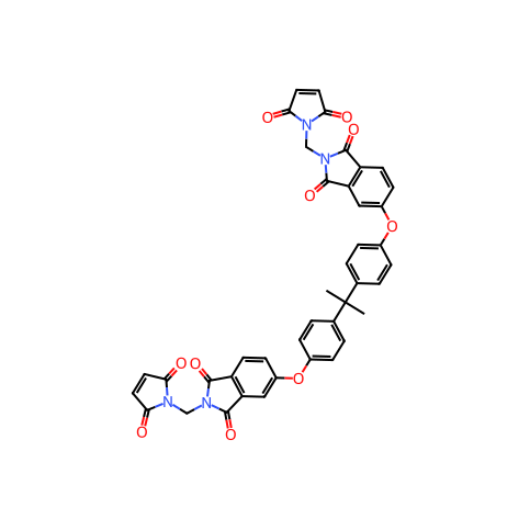 CC(C)(c1ccc(Oc2ccc3c(c2)C(=O)N(CN2C(=O)C=CC2=O)C3=O)cc1)c1ccc(Oc2ccc3c(c2)C(=O)N(CN2C(=O)C=CC2=O)C3=O)cc1